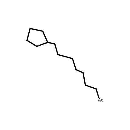 CC(=O)CCCCCCCC1CCCC1